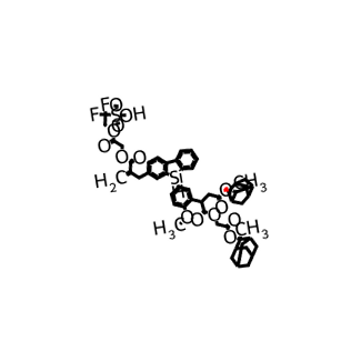 C=C(Cc1ccc2c(c1)[SiH](c1ccc(OC)c(C(CC(=O)OC3(C)C4CC5CC(C4)C3C5)C(=O)OCC(=O)OC3(C)C4CC5CC(C4)CC3C5)c1)c1ccccc1-2)C(=O)OCC(=O)OCC(F)(F)S(=O)(=O)O